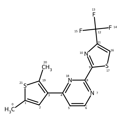 Cc1cc(-c2c[c]nc(-c3nc(C(F)(F)F)cs3)n2)c(C)s1